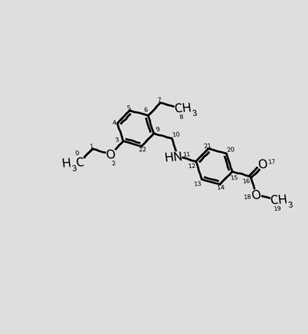 CCOc1ccc(CC)c(CNc2ccc(C(=O)OC)cc2)c1